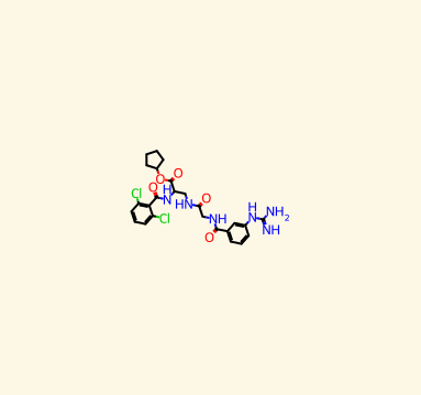 N=C(N)Nc1cccc(C(=O)NCC(=O)NCC(NC(=O)c2c(Cl)cccc2Cl)C(=O)OC2CCCC2)c1